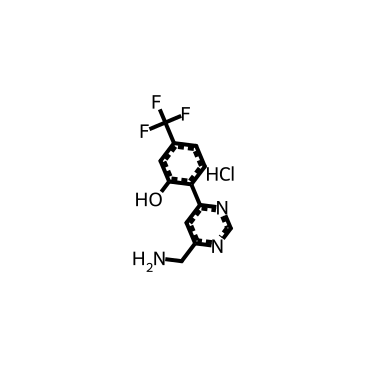 Cl.NCc1cc(-c2ccc(C(F)(F)F)cc2O)ncn1